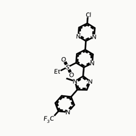 CCS(=O)(=O)c1cc(-c2ncc(Cl)cn2)cnc1-c1ncc(-c2ccc(C(F)(F)F)nc2)n1C